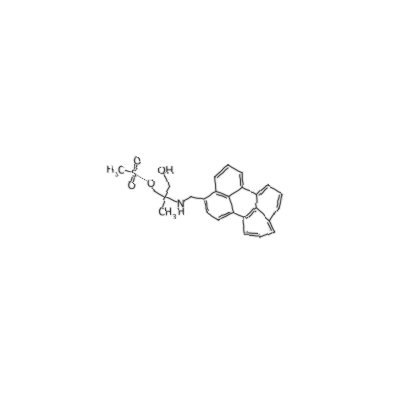 CC(CO)(COS(C)(=O)=O)NCc1ccc2c3cccc4cccc(c5cccc1c52)c43